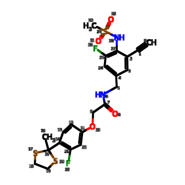 C#Cc1cc(CNC(=O)COc2ccc(C3(C)SCCS3)c(F)c2)cc(F)c1NS(C)(=O)=O